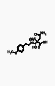 COc1ccc(CC[C@H](O)[C@@H](O)C(N)(CC(N)=O)C(=O)O)cc1